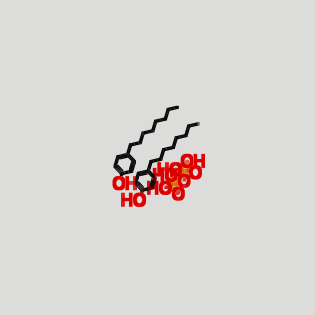 CCCCCCCCc1ccc(O)cc1.CCCCCCCCc1ccc(O)cc1.O=P(O)(O)OP(=O)(O)O